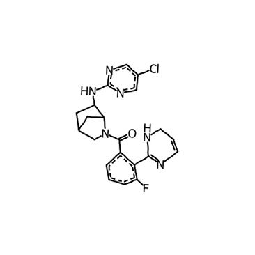 O=C(c1cccc(F)c1C1=NC=CCN1)N1CC2CC(Nc3ncc(Cl)cn3)C1C2